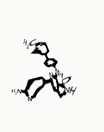 CN1CCC(c2ccc(Nc3nc(-c4ccc(N)nc4)cc4cc[nH]c(=O)c34)cc2)CC1